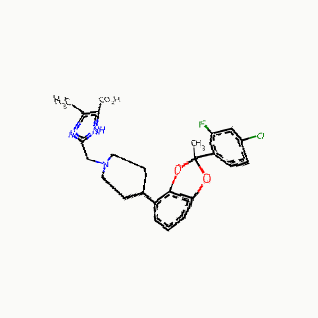 Cc1nc(CN2CCC(c3cccc4c3OC(C)(c3ccc(Cl)cc3F)O4)CC2)[nH]c1C(=O)O